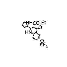 CCOC(=O)c1c(-c2ccc[nH]2)[nH]c2ccc(OC(F)(F)F)cc2c1=O